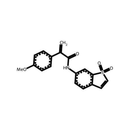 C=C(C(=O)Nc1ccc2c(c1)S(=O)(=O)C=C2)c1ccc(OC)cc1